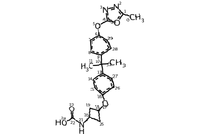 Cc1nnc(Oc2ccc(C(C)(C)c3ccc(OC4CC(NC(=O)O)C4)cc3)cc2)o1